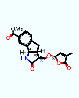 COC(=O)c1ccc2c(c1)[C@@H]1NC(=O)/C(=C/O[C@H]3C=C(C)C(=O)O3)[C@H]1C2